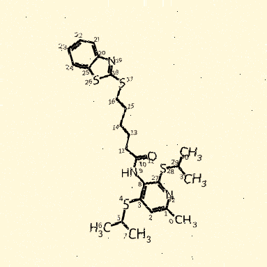 Cc1cc(SC(C)C)c(NC(=O)CCCCCSc2nc3ccccc3s2)c(SC(C)C)n1